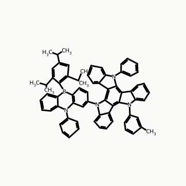 Cc1cccc(-n2c3ccccc3c3c4c(c5ccccc5n4-c4ccccc4)c4c(c5ccccc5n4-c4ccc5c(c4)N(c4ccccc4)c4ccccc4B5c4c(C(C)C)cc(C(C)C)cc4C(C)C)c32)c1